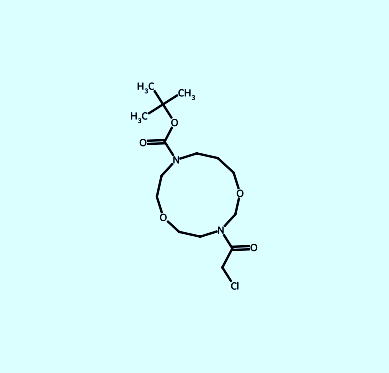 CC(C)(C)OC(=O)N1CCCOCN(C(=O)CCl)CCOCC1